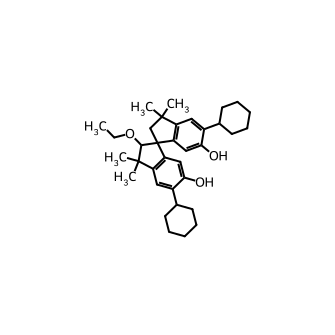 CCOC1C(C)(C)c2cc(C3CCCCC3)c(O)cc2C12CC(C)(C)c1cc(C3CCCCC3)c(O)cc12